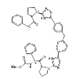 C[C@@H](C(=O)N1CCC[C@H]1c1ncc(-c2ccc(Sc3ccc(-c4cnc([C@@H]5CCCN5C(=O)[C@H](NC(=O)OC(C)(C)C)c5ccccc5)[nH]4)cc3)cc2)[nH]1)c1ccccc1